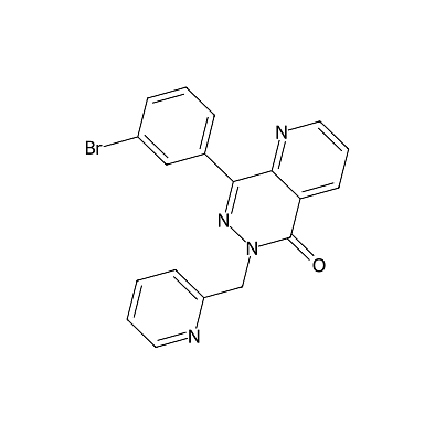 O=c1c2cccnc2c(-c2cccc(Br)c2)nn1Cc1ccccn1